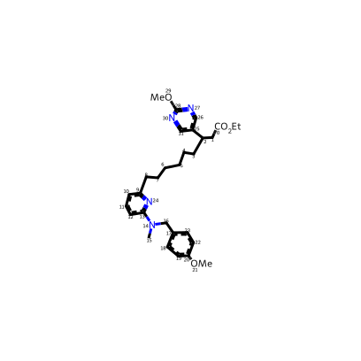 CCOC(=O)CC(CCCCCCc1cccc(N(C)Cc2ccc(OC)cc2)n1)c1cnc(OC)nc1